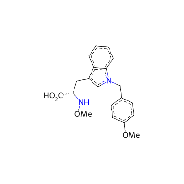 CON[C@@H](Cc1cn(Cc2ccc(OC)cc2)c2ccccc12)C(=O)O